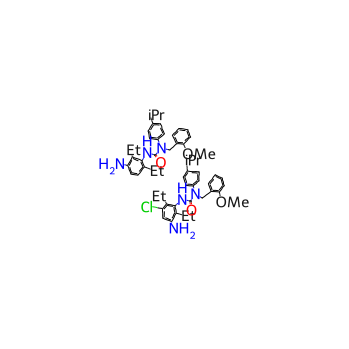 CCc1c(N)cc(Cl)c(CC)c1NC(=O)N(Cc1ccccc1OC)c1ccc(C(C)C)cc1.CCc1ccc(N)c(CC)c1NC(=O)N(Cc1ccccc1OC)c1ccc(C(C)C)cc1